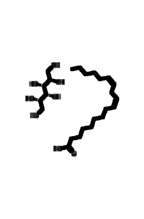 CCCCC/C=C\C/C=C\CCCCCCCC(=O)O.OC[C@@H](O)[C@@H](O)[C@H](O)[C@@H](O)CO